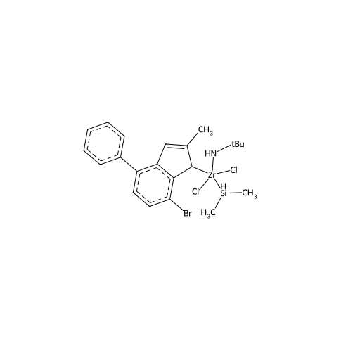 CC1=Cc2c(-c3ccccc3)ccc(Br)c2[CH]1[Zr]([Cl])([Cl])([NH]C(C)(C)C)[SiH](C)C